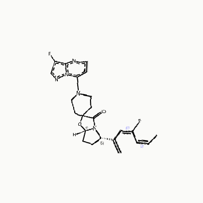 C=C(/C=C(F)\C=C/C)[C@@H]1CC[C@@H]2OC3(CCN(c4ccnc5c(F)cnn45)CC3)C(=O)N21